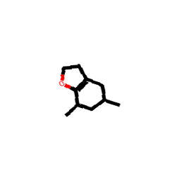 CC1CC2=C(OCC2)C(C)C1